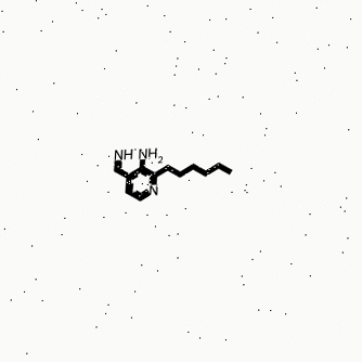 CCCCCCc1nccc(C=N)c1N